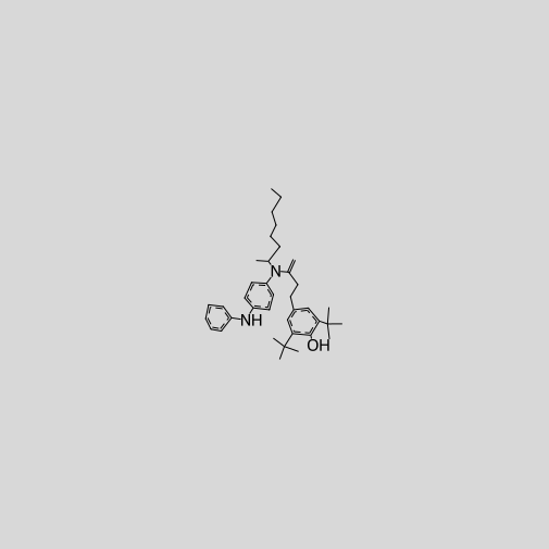 C=C(CCc1cc(C(C)(C)C)c(O)c(C(C)(C)C)c1)N(c1ccc(Nc2ccccc2)cc1)C(C)CCCCCC